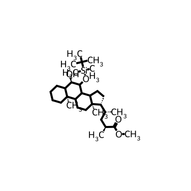 COC(=O)[C@@H](C)C[C@@H](C)[C@H]1CCC2C3C(O[Si](C)(C)C(C)(C)C)[C@H](O)C4CCCC[C@]4(C)C3CC[C@@]21C